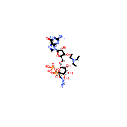 CCN(CC)CC.[N-]=[N+]=NC[C@]1(P(=O)(O)OP(=O)(O)O)O[C@H](OC[C@H]2O[C@@H](n3cnc4c(=O)[nH]c(N)nc43)[C@H](O)[C@@H]2O)[C@@H](O)[C@H](O)[C@@H]1O